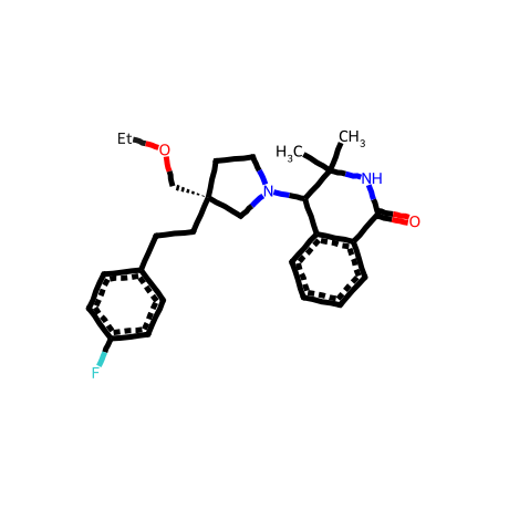 CCOC[C@]1(CCc2ccc(F)cc2)CCN(C2c3ccccc3C(=O)NC2(C)C)C1